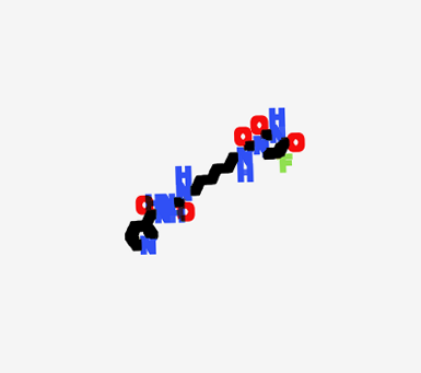 O=C(NCCCCCCNC(=O)n1cc(F)c(=O)[nH]c1=O)NNC(=O)c1cccnc1